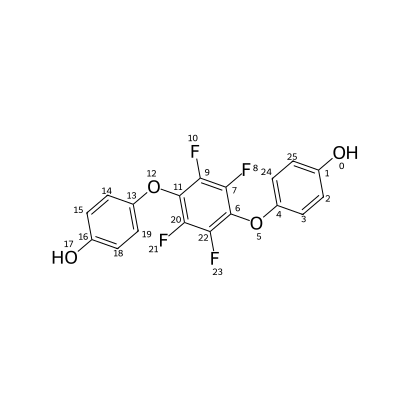 Oc1ccc(Oc2c(F)c(F)c(Oc3ccc(O)cc3)c(F)c2F)cc1